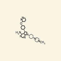 CN1CCN(C2CCC(n3cc(-c4ccc(Oc5cccnn5)cc4)c4c(N)ncnc43)CC2)CC1